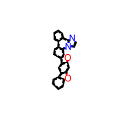 c1ccc2c(c1)oc1cc3oc4c(ccc5c6ccccc6c6nccn6c54)c3cc12